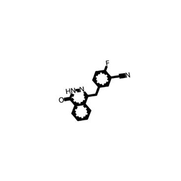 N#Cc1cc(Cc2n[nH]c(=O)c3ccccc23)ccc1F